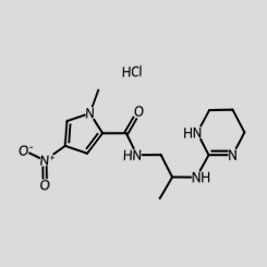 CC(CNC(=O)c1cc([N+](=O)[O-])cn1C)NC1=NCCCN1.Cl